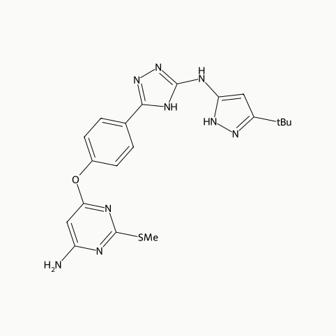 CSc1nc(N)cc(Oc2ccc(-c3nnc(Nc4cc(C(C)(C)C)n[nH]4)[nH]3)cc2)n1